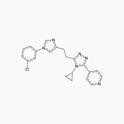 Clc1cccc(-n2cnc(CCc3nnc(-c4ccncc4)n3C3CC3)c2)c1